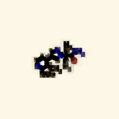 CNc1nccc(-c2cnn(C(C)(C)C(N)=O)c2)c1C